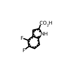 O=C(O)c1cc2c(F)c(F)ccc2[nH]1